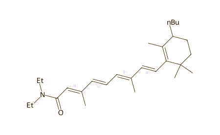 CCCCC1CCC(C)(C)C(/C=C/C(C)=C/C=C/C(C)=C/C(=O)N(CC)CC)=C1C